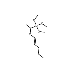 CCCC=COC(C)[Si](OC)(OC)OC